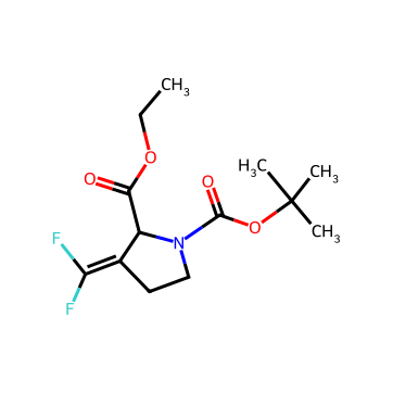 CCOC(=O)C1C(=C(F)F)CCN1C(=O)OC(C)(C)C